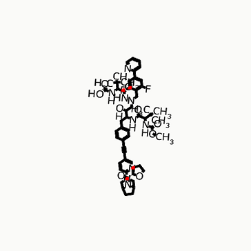 COC(=O)NC(C(=O)NC(Cc1ccc(C#Cc2ccc(N3CC4CCC(C3)N4C(=O)[C@@H]3CCCO3)nc2)cc1)C(O)CN(Cc1c(F)cc(-c2ccccn2)cc1F)NC(=O)C(NC(=O)O)C(C)(C)C)C(C)(C)C